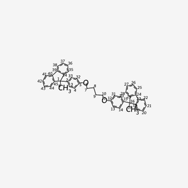 CC1(c2ccc(OCCCCOc3ccc(C4(C)c5ccccc5-c5ccccc54)cc3)cc2)c2ccccc2-c2ccccc21